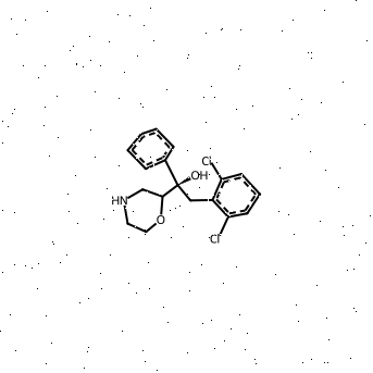 O[C@](Cc1c(Cl)cccc1Cl)(c1ccccc1)C1CNCCO1